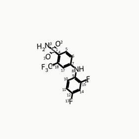 NS(=O)(=O)c1ccc(Nc2ccc(F)cc2F)cc1C(F)(F)F